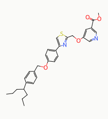 CCCC(CCC)c1ccc(COc2ccc(-c3csc(COc4cncc(C(=O)OC)c4)n3)cc2)cc1